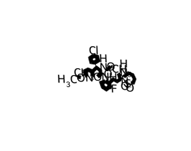 COC(=O)N[C@H](C(=O)Nc1cccc(F)c1CCC1CNC2CCCS(=O)(=O)N1C2)[C@@H](c1ccc(Cl)cc1)c1ccc(OC(C)C)nc1